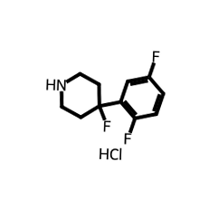 Cl.Fc1ccc(F)c(C2(F)CCNCC2)c1